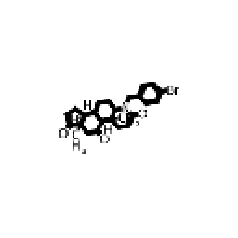 C[C@]12CCC(=O)N(Cc3ccc(Br)cc3)C1CC[C@@H]1[C@@H]2C(=O)C[C@]2(C)C(=O)CC[C@@H]12